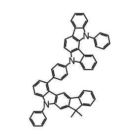 CC1(C)c2ccccc2-c2cc3c4c(-c5ccc(-n6c7ccccc7c7c6ccc6c8ccccc8n(-c8ccccc8)c67)cc5)cccc4n(-c4ccccc4)c3cc21